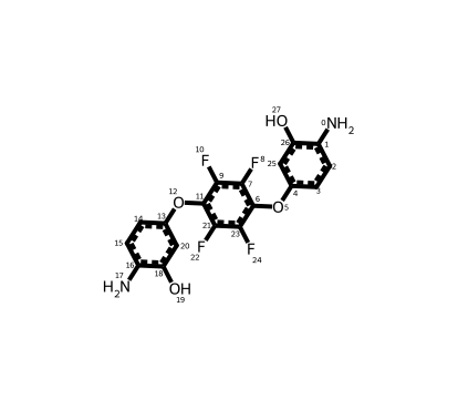 Nc1ccc(Oc2c(F)c(F)c(Oc3ccc(N)c(O)c3)c(F)c2F)cc1O